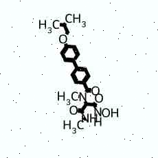 CNC(=O)C(C(=O)NO)N(C)C(=O)c1ccc(-c2ccc(OCC(C)C)cc2)cc1